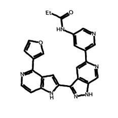 CCC(=O)Nc1cncc(-c2cc3c(-c4cc5c(-c6ccoc6)nccc5[nH]4)n[nH]c3cn2)c1